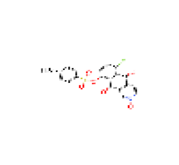 Cc1ccc(S(=O)(=O)Oc2ccc(F)c3c2C(=O)c2c[n+]([O-])ccc2C3=O)cc1